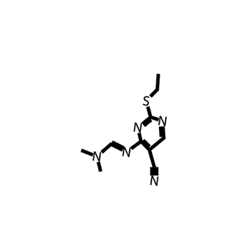 CCSc1ncc(C#N)c(N=CN(C)C)n1